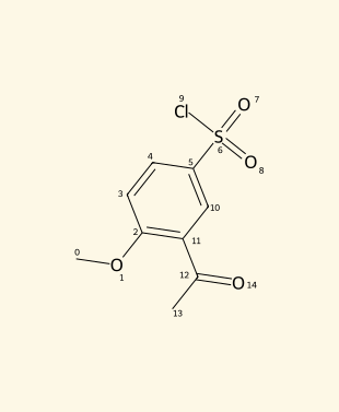 COc1ccc(S(=O)(=O)Cl)cc1C(C)=O